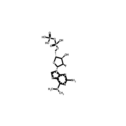 CN(C)c1nc(N)nc2c1ncn2[C@@H]1O[C@H](COP(=O)(O)OP(=O)(O)O)[C@@H](O)[C@H]1F